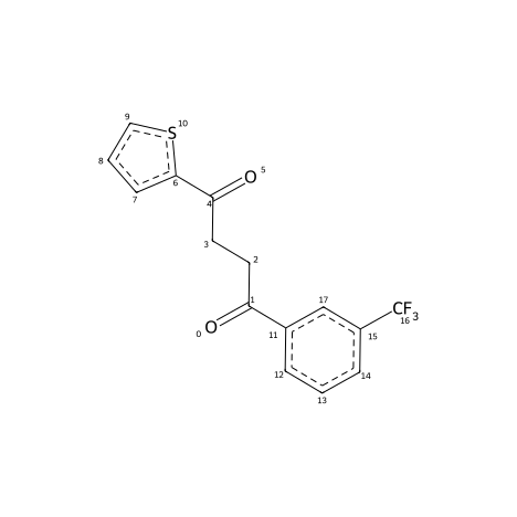 O=C(CCC(=O)c1cccs1)c1cccc(C(F)(F)F)c1